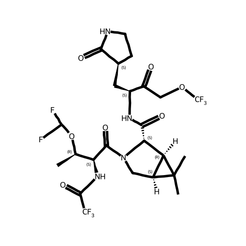 C[C@@H](OC(F)F)[C@H](NC(=O)C(F)(F)F)C(=O)N1C[C@H]2[C@@H]([C@H]1C(=O)N[C@@H](C[C@@H]1CCNC1=O)C(=O)COC(F)(F)F)C2(C)C